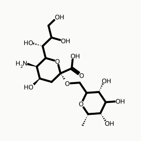 C[C@@H]1OC(CO[C@]2(C(=O)O)C[C@@H](O)[C@@H](N)C([C@H](O)C(O)CO)O2)[C@H](O)C(O)[C@@H]1O